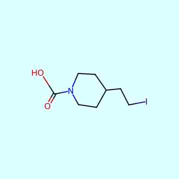 O=C(O)N1CCC(CCI)CC1